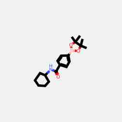 CC1(C)OB(c2ccc(C(=O)NC3CCCCC3)cc2)OC1(C)C